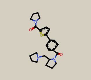 O=C(c1ccc(-c2ccc(C(=O)N3CCCC3CN3CCCC3)cc2)s1)N1CCCC1